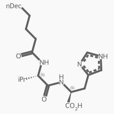 CCCCCCCCCCCCCC(=O)N[C@H](C(=O)N[C@@H](Cc1c[nH]cn1)C(=O)O)C(C)C